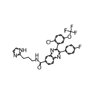 O=C(NCCCc1ncc[nH]1)c1ccc2nc(-c3ccc(F)cc3)c(-c3cc(OC(F)(F)F)ccc3Cl)nc2c1